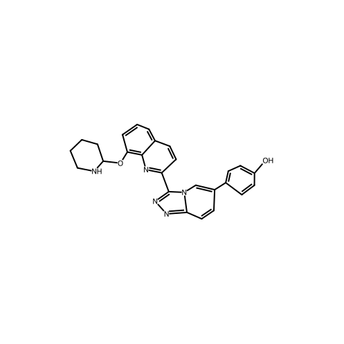 Oc1ccc(-c2ccc3nnc(-c4ccc5cccc(OC6CCCCN6)c5n4)n3c2)cc1